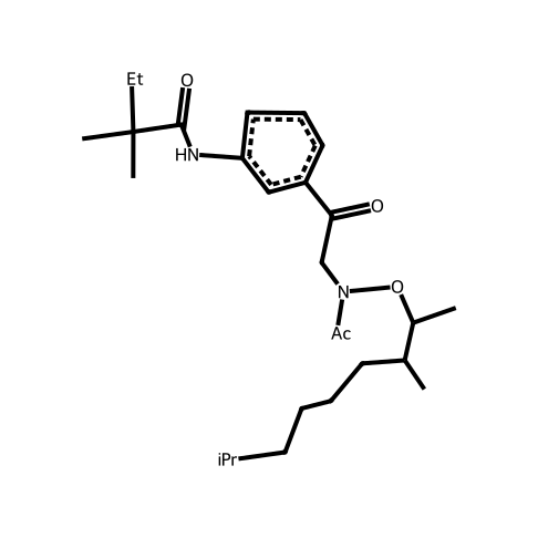 CCC(C)(C)C(=O)Nc1cccc(C(=O)CN(OC(C)C(C)CCCCC(C)C)C(C)=O)c1